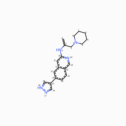 C=C(CN1CCCCC1)Nc1cc2cc(-c3cn[nH]c3)ccc2cn1